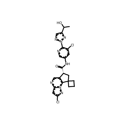 CC(O)c1cnn(-c2ncc(NC(=O)[C@@H]3CC4(CCC4)c4c3cnc3cc(Cl)nn43)cc2Cl)n1